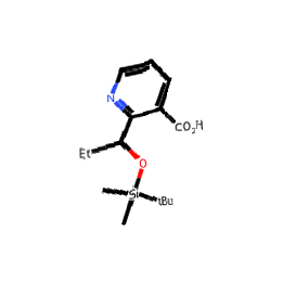 CCC(O[Si](C)(C)C(C)(C)C)c1ncccc1C(=O)O